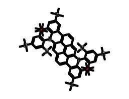 C[Si](C)(C)c1cc2c(c([Si](C)(C)C)c1)B(c1c([Si](C)(C)C)cc([Si](C)(C)C)cc1[Si](C)(C)C)c1cc3ccc4c5c(cc6ccc-2c1c6c35)B(c1c([Si](C)(C)C)cc([Si](C)(C)C)cc1[Si](C)(C)C)c1c-4cc([Si](C)(C)C)cc1[Si](C)(C)C